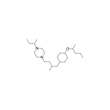 CCCC(C)OC1CCC(CC(C)CCN2CCN(C(C)CC)CC2)CC1